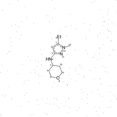 CCc1cc(NC2CCOCC2)nn1C